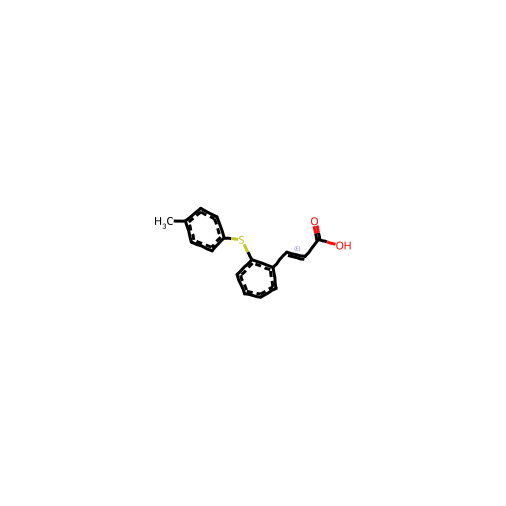 Cc1ccc(Sc2ccccc2/C=C/C(=O)O)cc1